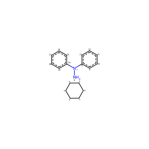 C1CCCCC1.NN(c1ccccc1)c1ccccc1